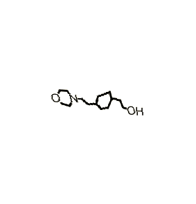 OCCC1CCC(CCN2CCOCC2)CC1